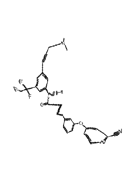 CN(C)CC#Cc1cc(NC(=O)CCc2cccc(Oc3ccnc(C#N)c3)c2)cc(C(F)(F)F)c1